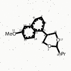 C[CH]CC1OCC(c2cccc3cc(OC)ccc23)CO1